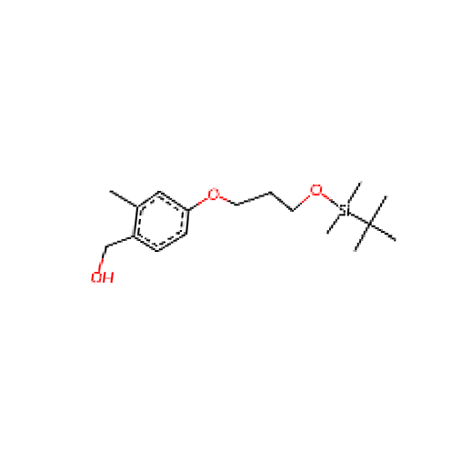 Cc1cc(OCCCO[Si](C)(C)C(C)(C)C)ccc1CO